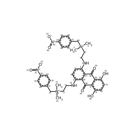 C[N+](C)(CCNc1ccc(NCC[N+](C)(C)Cc2ccc([N+](=O)[O-])cc2)c2c1C(=O)c1c(O)ccc(O)c1C2=O)Cc1ccc([N+](=O)[O-])cc1